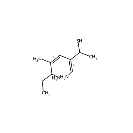 CCC(N)/C(C)=C\C(=C/N)C(C)S